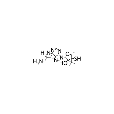 C[C@H]1O[C@@H](N2C=NC3(C)C2=NC=NC3(N)CCCN)[C@@]2(O)C(C)(C)[C@@]12S